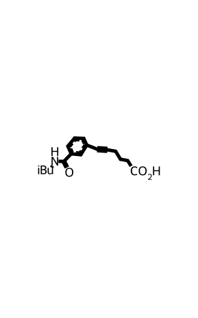 CCC(C)NC(=O)c1cccc(C#CCCCC(=O)O)c1